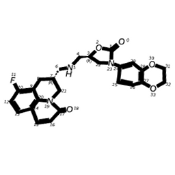 O=C1O[C@H](CNC[C@H]2Cc3c(F)ccc4ccc(=O)n(c34)C2)CN1c1ccc2c(c1)OCCO2